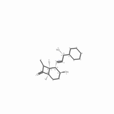 CC1C(=O)[C@]2(C)CC[C@H](O)[C@@H](/C=C/[C@H](O)C3CCCCC3)[C@H]12